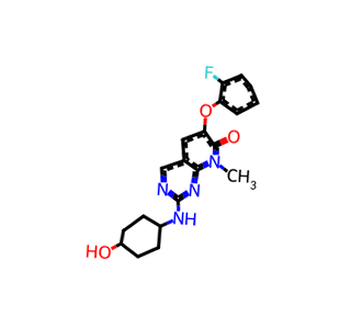 Cn1c(=O)c(Oc2ccccc2F)cc2cnc(NC3CCC(O)CC3)nc21